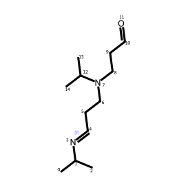 CC(C)/N=C/CCN(CCC=O)C(C)C